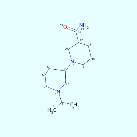 CC(C)N1CCCC(N2CCCC(C(N)=O)C2)C1